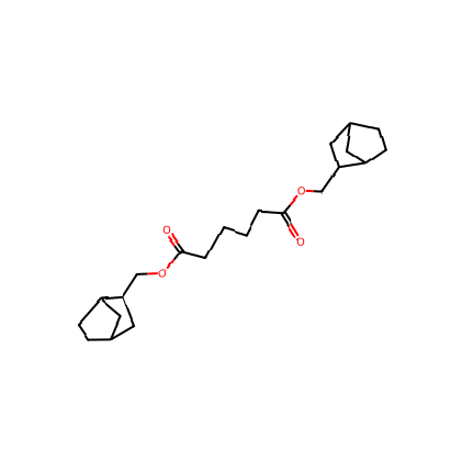 O=C(CCCCC(=O)OCC1CC2CCC1C2)OCC1CC2CCC1C2